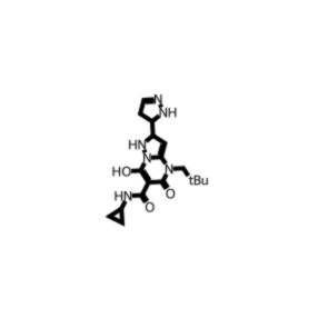 CC(C)(C)CN1C(=O)C(C(=O)NC2CC2)=C(O)N2NC(C3CC=NN3)C=C12